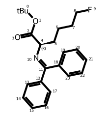 CC(C)(C)OC(=O)[C@@H](CCCCF)N=C(c1ccccc1)c1ccccc1